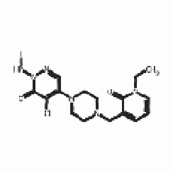 CCn1cccc(CN2CCN(c3cnn(PI)c(=O)c3Cl)CC2)c1=O